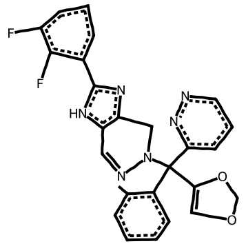 Cc1ccccc1C(C1=COCO1)(c1cccnn1)N1Cc2nc(-c3cccc(F)c3F)[nH]c2C=N1